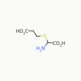 NC(SCCC(=O)O)C(=O)O